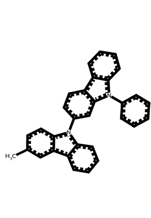 Cc1ccc2c(c1)c1ccccc1n2-c1ccc2c3ccccc3n(-c3ccccc3)c2c1